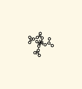 c1ccc(-c2cc(-c3ccccc3)cc(-c3cccc(-c4cc(-c5cccc(N(c6ccccc6)c6ccc(-c7ccc8c(c7)c7ccccc7n8-c7ccccc7)cc6)c5)nc(N(c5ccccc5)c5ccc(-c6ccc7c(c6)c6ccccc6n7-c6ccccc6)cc5)n4)c3)c2)cc1